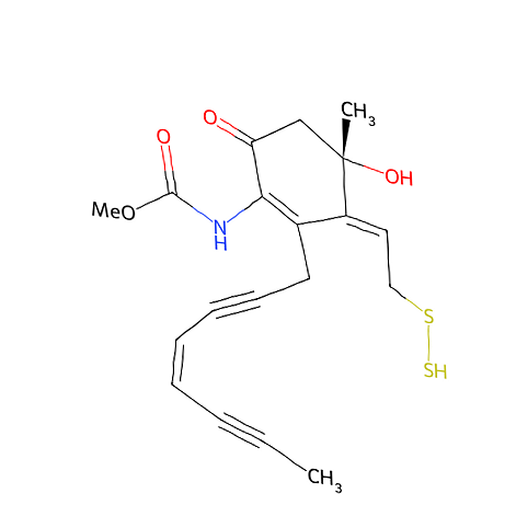 CC#C/C=C\C#CCC1=C(NC(=O)OC)C(=O)C[C@](C)(O)/C1=C/CSS